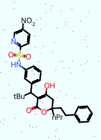 CCCC1(CCc2ccccc2)CC(O)=C(C(c2cccc(NS(=O)(=O)c3ccc([N+](=O)[O-])cn3)c2)C(C)(C)C)C(=O)O1